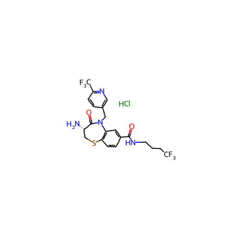 Cl.N[C@H]1CSc2ccc(C(=O)NCCCC(F)(F)F)cc2N(Cc2ccc(C(F)(F)F)nc2)C1=O